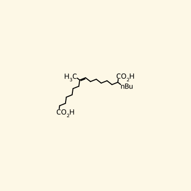 CCCCC(CCCCCC=C(C)CCCCCCC(=O)O)C(=O)O